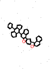 c1ccc(-c2c3ccccc3c(-c3cc4oc5cc6oc7ccc8ccccc8c7c6cc5c4c4ccccc34)c3ccccc23)cc1